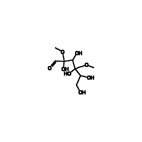 COC(O)(C=O)C(O)C(O)(OC)C(O)CO